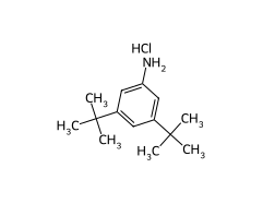 CC(C)(C)c1cc(N)cc(C(C)(C)C)c1.Cl